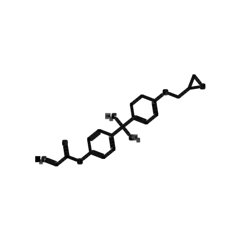 C=CC(=O)Oc1ccc(C(C)(C)C2=CC=C(OCC3CO3)CC2)cc1